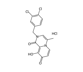 Cc1cn(Cc2ccc(Cl)c(Cl)c2)c(=O)c2c(O)c(=O)ccn12.Cl